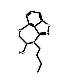 CCCCN1c2noc3cccc(c23)OCC1O